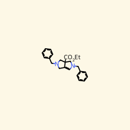 CCOC(=O)C12CN(Cc3ccccc3)C=C1CN(Cc1ccccc1)C2